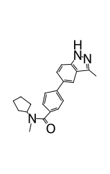 Cc1n[nH]c2ccc(-c3ccc(C(=O)N(C)C4CCCC4)cc3)cc12